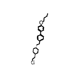 CCCCOc1ccc(-c2ccc(CC[C@H]3CC[C@H](CCCl)CC3)cc2)cc1